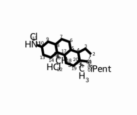 CCC[C@@H](C)[C@H]1CCC2C3CCC4CC(NCl)CC[C@]4(C)C3CC[C@@]21C.Cl